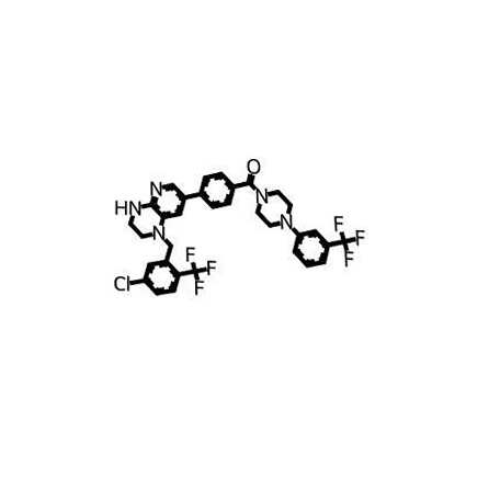 O=C(c1ccc(-c2cnc3c(c2)N(Cc2cc(Cl)ccc2C(F)(F)F)CCN3)cc1)N1CCN(c2cccc(C(F)(F)F)c2)CC1